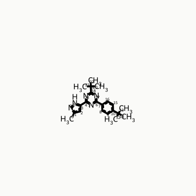 Cc1cc(-c2nc(-c3ccc(C(C)(C)C)cc3)nc(C(C)(C)C)n2)[nH]n1